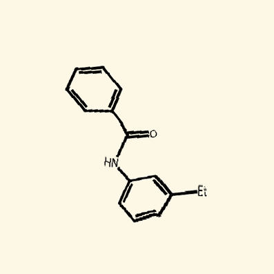 CCc1cccc(NC(=O)c2ccccc2)c1